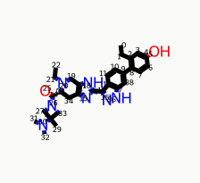 CCc1cc(O)ccc1-c1ccc2c(-c3nc4c([nH]3)CN(CC)[C@H](C(=O)N3CC(C)(N(C)C)C3)C4)n[nH]c2c1